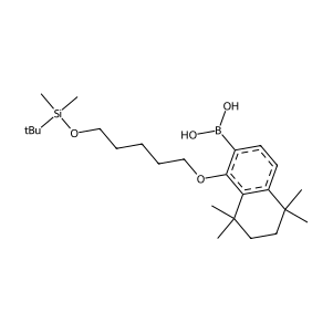 CC1(C)CCC(C)(C)c2c1ccc(B(O)O)c2OCCCCCO[Si](C)(C)C(C)(C)C